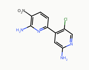 Nc1cc(-c2ccc([N+](=O)[O-])c(N)n2)c(Cl)cn1